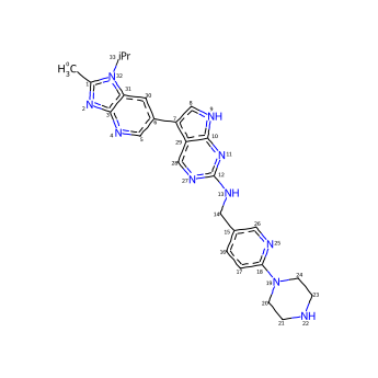 Cc1nc2ncc(-c3c[nH]c4nc(NCc5ccc(N6CCNCC6)nc5)ncc34)cc2n1C(C)C